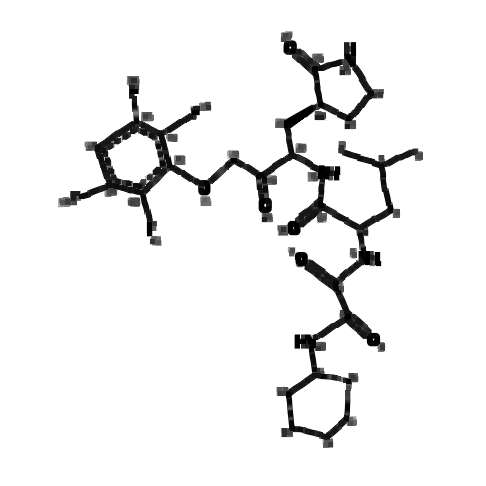 CC(C)CC(NC(=O)C(=O)NC1CCCCC1)C(=O)NC(C[C@@H]1CCNC1=O)C(=O)COc1c(F)c(F)cc(F)c1F